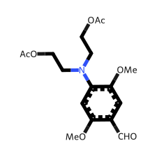 COc1cc(N(CCOC(C)=O)CCOC(C)=O)c(OC)cc1C=O